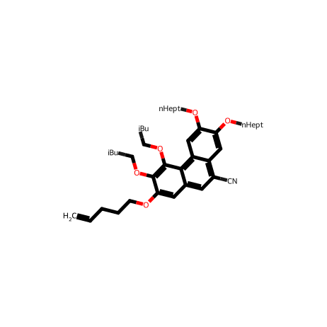 C=CCCCOc1cc2cc(C#N)c3cc(OCCCCCCC)c(OCCCCCCC)cc3c2c(OCC(C)CC)c1OCC(C)CC